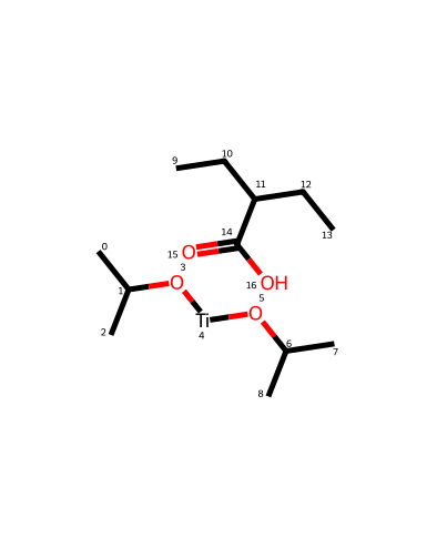 CC(C)[O][Ti][O]C(C)C.CCC(CC)C(=O)O